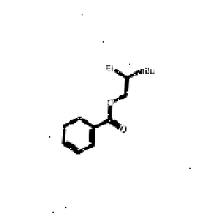 CCCCC(CC)COC(=O)C1=CC=CCC1